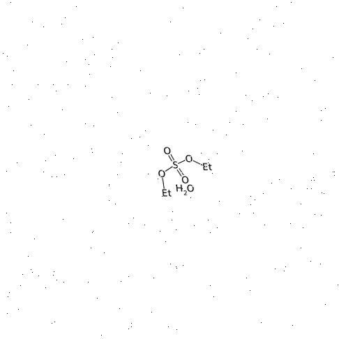 CCOS(=O)(=O)OCC.O